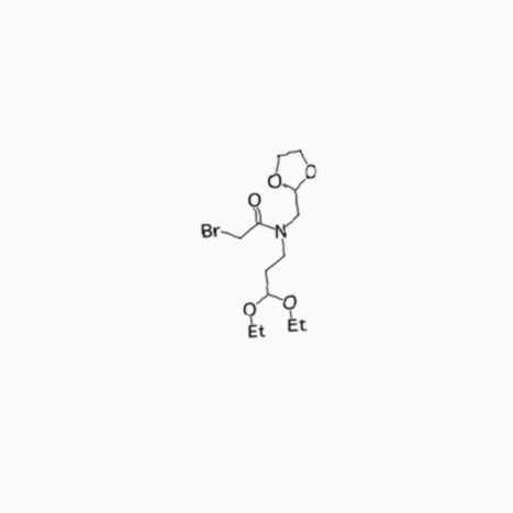 CCOC(CCN(CC1OCCO1)C(=O)CBr)OCC